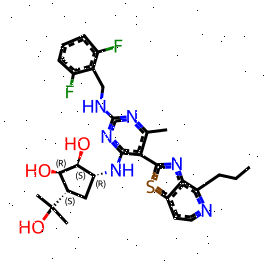 CCCc1nccc2sc(-c3c(C)nc(NCc4c(F)cccc4F)nc3N[C@@H]3C[C@H](C(C)(C)O)[C@@H](O)[C@H]3O)nc12